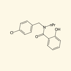 [CH2]CCN(Cc1ccc(Cl)cc1)C(=O)c1ccccc1O